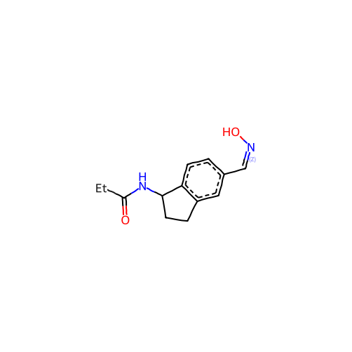 CCC(=O)NC1CCc2cc(/C=N\O)ccc21